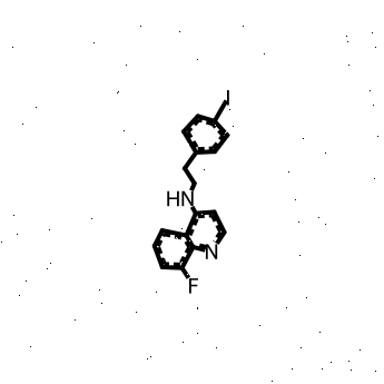 Fc1cccc2c(NCCc3ccc(I)cc3)ccnc12